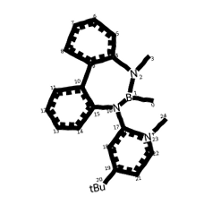 CB1N(C)c2ccccc2-c2ccccc2N1c1cc(C(C)(C)C)cc[n+]1C